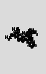 COc1ccc(C[C@@H]2C[C@@H]([C@H](Cc3ccccc3)NC(=O)OC(C)(C)C)OC2=O)c(OC)c1